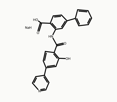 O=C(Nc1cc(-c2ccccc2)ccc1C(=O)O)c1ccc(-c2ccncc2)cc1O.[NaH]